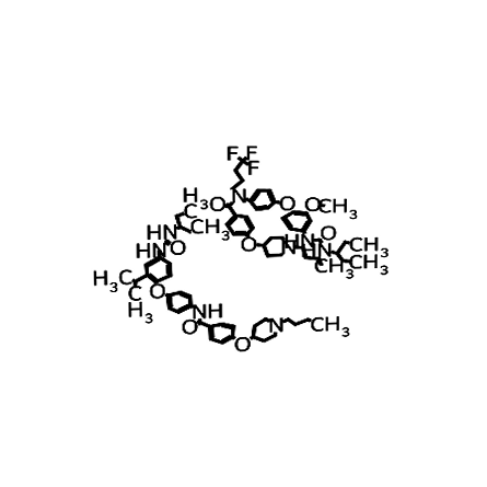 CCCCN1CCC(Oc2ccc(C(=O)N(CCCC(F)(F)F)c3ccc(Oc4ccc(NC(=O)NC(CC)CC)cc4OC)cc3)cc2)CC1.CCCCN1CCC(Oc2ccc(C(=O)Nc3ccc(Oc4ccc(NC(=O)NC(CC)CC)cc4C(C)C)cc3)cc2)CC1